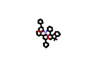 CC1(C)c2ccccc2-c2c(-c3ccccc3N(c3cccc(-c4ccccc4)c3)c3ccc(-c4ccccc4)cc3-c3ccccc3)cccc21